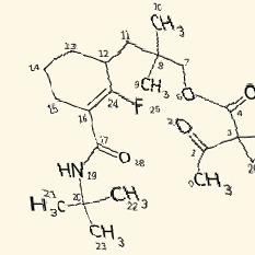 CC(=O)C1(C(=O)OCC(C)(C)CC2CCCC(C(=O)NC(C)(C)C)=C2F)CC1